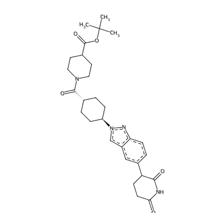 CC(C)(C)OC(=O)C1CCN(C(=O)[C@H]2CC[C@H](n3cc4cc(C5CCC(=O)NC5=O)ccc4n3)CC2)CC1